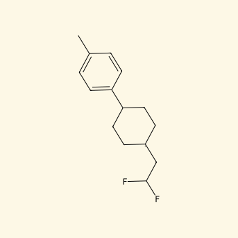 Cc1ccc(C2CC[C](CC(F)F)CC2)cc1